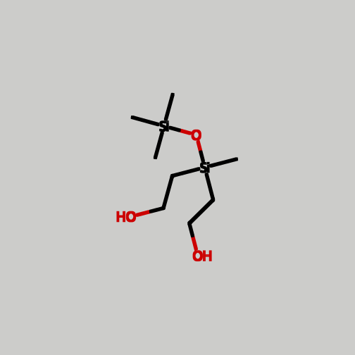 C[Si](C)(C)O[Si](C)(CCO)CCO